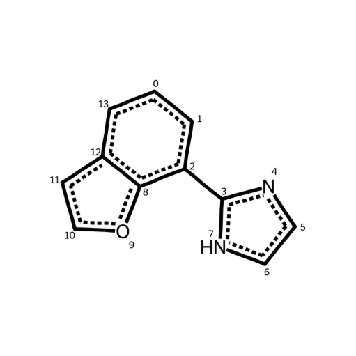 c1cc(-c2ncc[nH]2)c2occc2c1